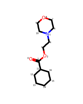 O=C(OCCN1CCOCC1)C1CCCCC1